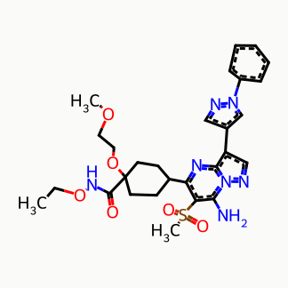 CCONC(=O)C1(OCCOC)CCC(c2nc3c(-c4cnn(-c5ccccc5)c4)cnn3c(N)c2S(C)(=O)=O)CC1